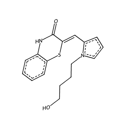 O=C1Nc2ccccc2SC1=Cc1cccn1CCCCO